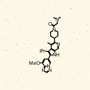 COc1cc(-c2[nH]c3cnc(C4CCN(C(=O)CN(C)C)CC4)c(C)c3c2C(C)C)cn2ncnc12